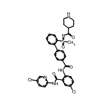 CS(=O)(=NC(=O)C1CCNCC1)c1ccccc1-c1ccc(C(=O)Nc2ccc(Cl)cc2C(=O)Nc2ccc(Cl)cn2)cc1